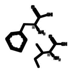 CCC(C)[C@H](N)C(=O)O.N[C@@H](Cc1ccccc1)C(=O)O